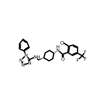 O=C(N[C@H]1CC[C@H](CNc2nnnn2-c2ccccc2)CC1)c1cc(C(F)(F)F)ccc1Cl